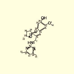 COc1cc(C=C(CNc2nc(C)cc(C)n2)P2(=O)CC[C@@H](C)O2)ccc1O